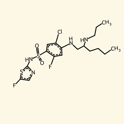 CCCCC(CNc1cc(F)c(S(=O)(=O)Nc2ncc(F)s2)cc1Cl)NCCC